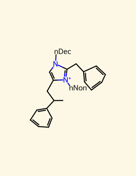 CCCCCCCCCCn1cc(CC(C)c2ccccc2)[n+](CCCCCCCCC)c1Cc1ccccc1